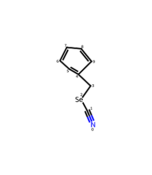 N#C[Se]Cc1ccccc1